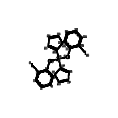 Ic1ccccc1[O][Zr]([O]c1ccccc1I)([C]1=CC=CC1)[C]1=CC=CC1